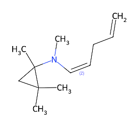 C=CC/C=C\N(C)C1(C)CC1(C)C